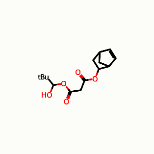 CC(C)(C)C(O)OC(=O)CC(=O)OC1CC2C=CC1C2